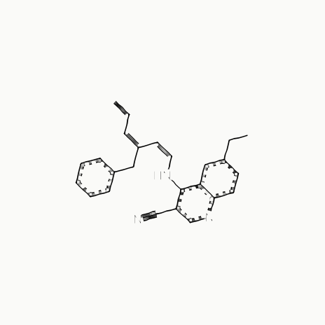 C=C/C=C(\C=C/Nc1c(C#N)cnc2ccc(CC)cc12)Cc1ccccc1